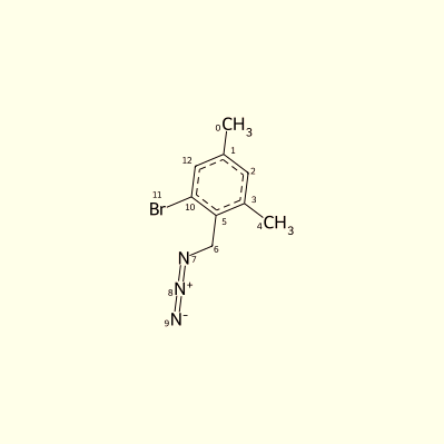 Cc1cc(C)c(CN=[N+]=[N-])c(Br)c1